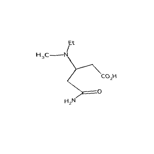 CCN(C)C(CC(N)=O)CC(=O)O